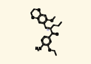 CCC/C(=C\c1cc2c(cc1OC)OCCO2)C(=O)c1ccc(N)c(OCC)c1